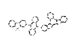 CC1(C)c2ccccc2-c2ccc(-c3c4ccccc4c(-c4ccc5oc6c7oc8ccccc8c7c7ccccc7c6c5c4)c4ccccc34)cc21